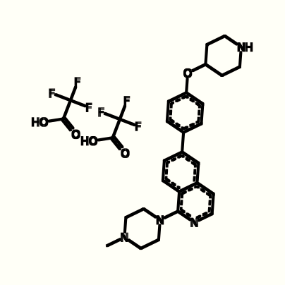 CN1CCN(c2nccc3cc(-c4ccc(OC5CCNCC5)cc4)ccc23)CC1.O=C(O)C(F)(F)F.O=C(O)C(F)(F)F